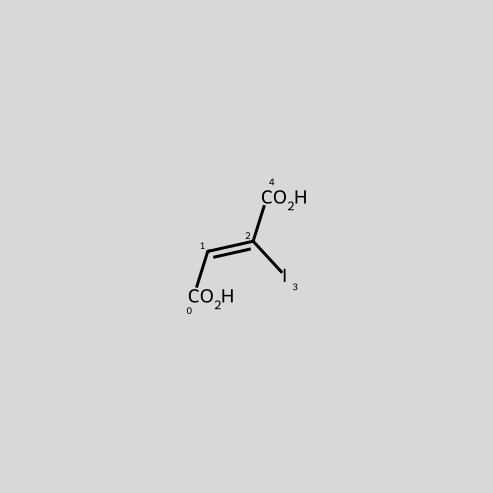 O=C(O)/C=C(\I)C(=O)O